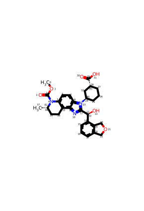 COC(=O)N1c2ccc3c(nc([C@@H](O)c4cccc5c4COC5)n3[C@@H]3CCC[C@@H](C(=O)O)C3)c2CC[C@@H]1C